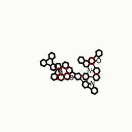 c1ccc(N(c2ccc3c4ccccc4c4ccccc4c3c2)c2ccccc2-c2cccc3c2oc2cc(-c4ccc5c6ccccc6n(-c6ccccc6-c6ccccc6N(c6ccccc6-c6cccc7c6oc6ccccc67)c6cc7ccccc7c7ccccc67)c5c4)ccc23)c(-c2ccccc2-n2c3ccccc3c3ccccc32)c1